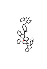 c1ccc(-c2c3ccccc3c(-c3ccc(-c4cccc5oc6ccccc6c45)cc3)c3ccccc23)c(-c2ccc3c(c2)-c2c(ccc4ccccc24)C32C3CC4CC(C3)CC2C4)c1